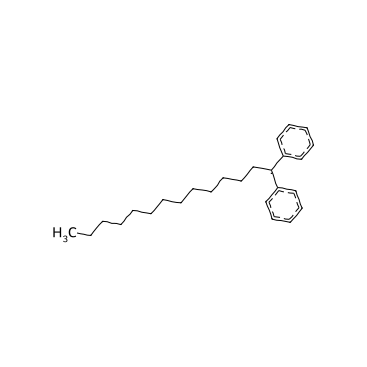 CCCCCCCCCCCCC[C](c1ccccc1)c1ccccc1